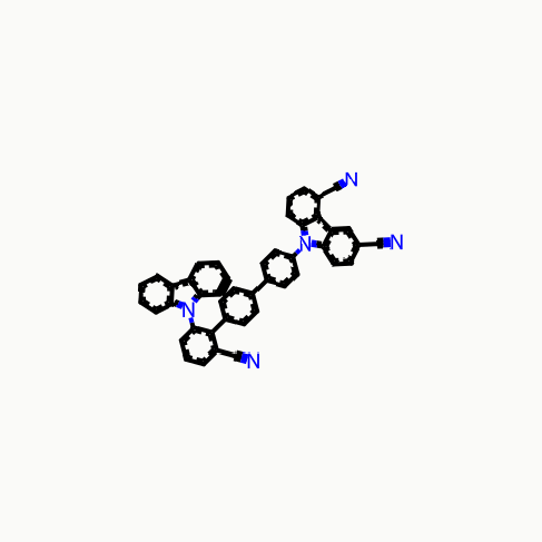 N#Cc1ccc2c(c1)c1c(C#N)cccc1n2-c1ccc(-c2ccc(-c3c(C#N)cccc3-n3c4c#cccc4c4ccccc43)cc2)cc1